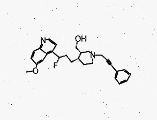 COc1ccc2nccc(C(F)CC[C@@H]3CCN(CC#Cc4ccccc4)C[C@@H]3CO)c2c1